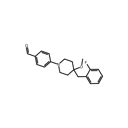 COC1(Cc2ccccc2F)CCN(c2ccc(C=O)cc2)CC1